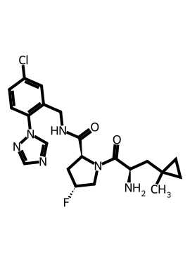 CC1(C[C@@H](N)C(=O)N2C[C@H](F)C[C@H]2C(=O)NCc2cc(Cl)ccc2-n2cncn2)CC1